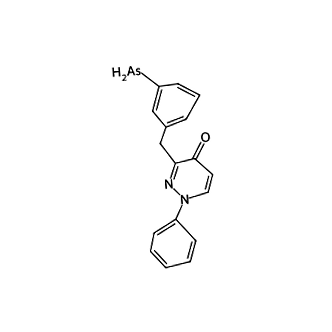 O=c1ccn(-c2ccccc2)nc1Cc1cccc([AsH2])c1